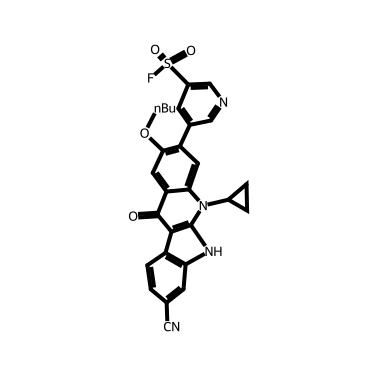 CCCCOc1cc2c(=O)c3c4ccc(C#N)cc4[nH]c3n(C3CC3)c2cc1-c1cncc(S(=O)(=O)F)c1